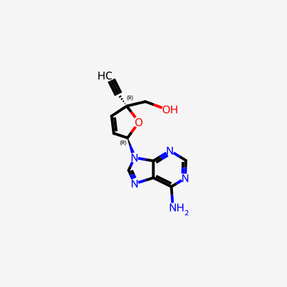 C#C[C@@]1(CO)C=C[C@H](n2cnc3c(N)ncnc32)O1